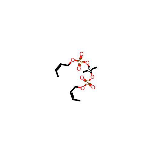 C/C=C\COS(=O)(=O)O[Si](C)(C)OS(=O)(=O)OC/C=C\C